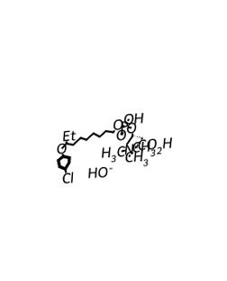 CCC(CCCCCCCOP(=O)(O)O[C@H](CC(=O)O)C[N+](C)(C)C)Oc1ccc(Cl)cc1.[OH-]